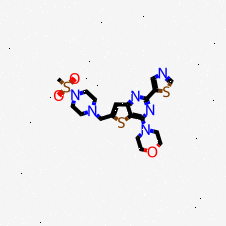 CS(=O)(=O)N1CCN(Cc2cc3nc(-c4cncs4)nc(N4CCOCC4)c3s2)CC1